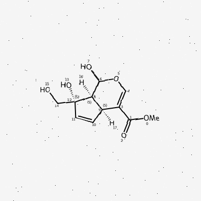 COC(=O)C1=COC(O)[C@H]2[C@@H]1C=C[C@@]2(O)CO